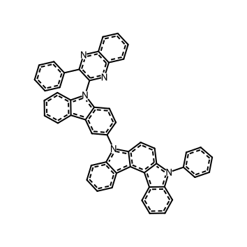 c1ccc(-c2nc3ccccc3nc2-n2c3ccccc3c3cc(-n4c5ccccc5c5c6c7ccccc7n(-c7ccccc7)c6ccc54)ccc32)cc1